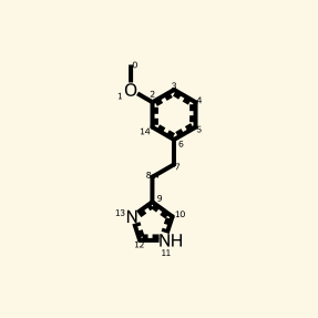 COc1cccc(C[CH]c2c[nH]cn2)c1